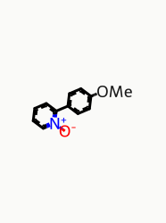 COc1ccc(-c2cccc[n+]2[O-])cc1